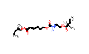 CCC(C)COC(=O)CCCCCOC(=O)NCCOC(=O)C(C)(C)CC